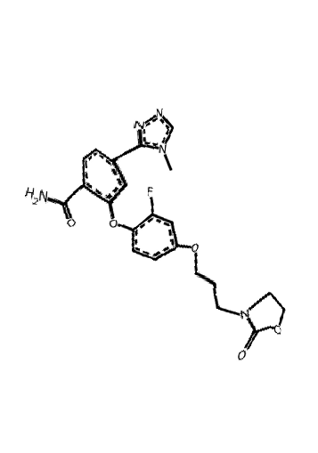 Cn1cnnc1-c1ccc(C(N)=O)c(Oc2ccc(OCCCN3CCOC3=O)cc2F)c1